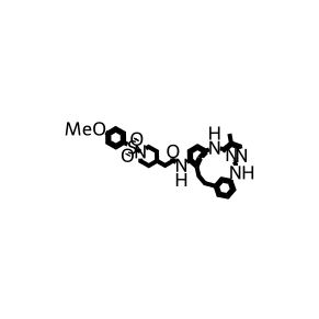 COc1ccc(S(=O)(=O)N2CCC(CC(=O)Nc3ccc4cc3CCc3cccc(c3)Nc3ncc(C)c(n3)N4)CC2)cc1